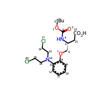 CC(C)(C)OC(=O)N[C@@H](COc1ccccc1N(CCCl)CCCl)CC(=O)O